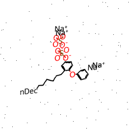 CCCCCCCCCCCCCCCCc1ccccc1Oc1ccccc1.O=S(=O)([O-])[O-].O=S(=O)([O-])[O-].[Na+].[Na+].[Na+].[Na+]